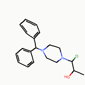 CC(O)C(Cl)N1CCN(C(c2ccccc2)c2ccccc2)CC1